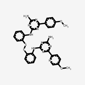 COc1ccc(-c2nc(N)nc(Nc3ccccc3SSc3ccccc3Nc3nc(N)nc(-c4ccc(OC)cn4)n3)n2)cc1